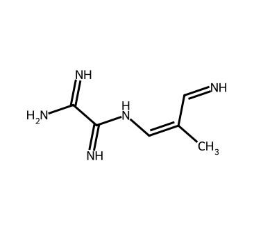 C/C(C=N)=C/NC(=N)C(=N)N